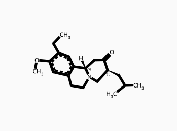 CCc1cc2c(cc1OC)CCN1C[C@H](CC(C)C)C(=O)C[C@@H]21